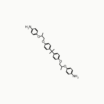 CC(COc1ccc(C(C)(C)c2ccc(OCC(C)Oc3ccc(N)cc3)cc2)cc1)Oc1ccc(N)cc1